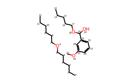 CCCCCCOCCCCCC.CCCCCOC(O)c1cccc(OC)c1